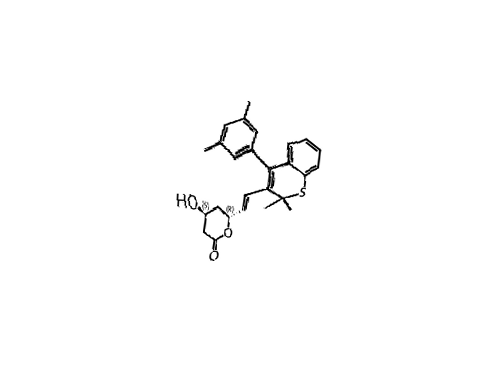 Cc1cc(C)cc(C2=C(C=C[C@H]3C[C@H](O)CC(=O)O3)C(C)(C)Sc3ccccc32)c1